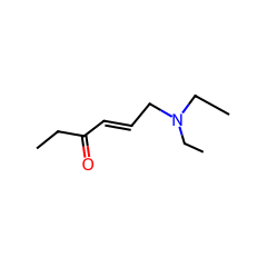 CCC(=O)/C=C/CN(CC)CC